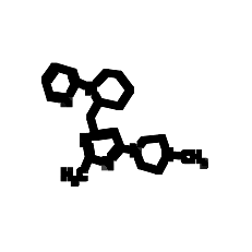 Cc1nc(CC2CCCCN2c2ccccn2)cc(N2CCN(C)CC2)n1